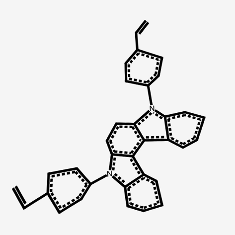 C=Cc1ccc(-n2c3ccccc3c3c4c5ccccc5n(-c5ccc(C=C)cc5)c4ccc32)cc1